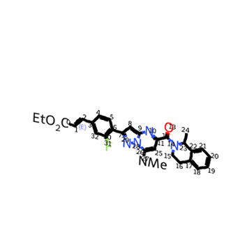 CCOC(=O)/C=C/c1ccc(-c2cc3nc(C(=O)N4CCc5ccccc5C4C)cc(NC)n3n2)c(F)c1